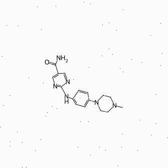 CN1CCN(c2ccc(Nc3ncc(C(N)=O)cn3)cc2)CC1